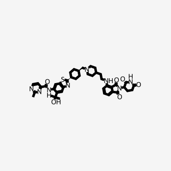 Cc1nccc(C(=O)Nc2cc3sc([C@H]4CC[C@H](CN5CCC(CCNc6cccc7c6C(=O)N(C6CCC(=O)NC6=O)C7=O)CC5)CC4)nc3cc2C(C)(C)O)n1